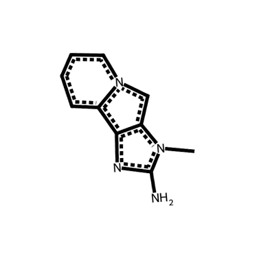 Cn1c(N)nc2c1cn1ccccc21